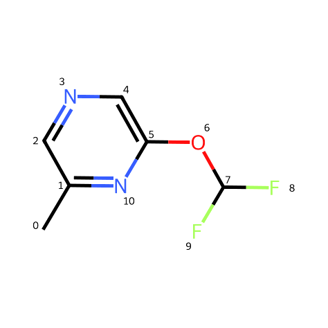 Cc1cncc(OC(F)F)n1